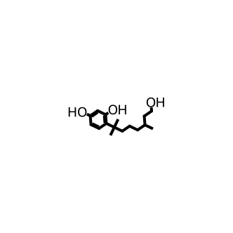 CC(CCO)CCCC(C)(C)c1ccc(O)cc1O